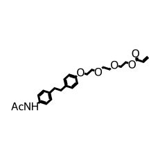 C=CC(=O)OCCOCCOCCOc1ccc(CCc2ccc(NC(C)=O)cc2)cc1